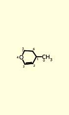 CC1C=CO[C]C1